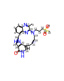 Cc1nc2cccc3c2nc1N(CCCS(C)(=O)=O)C/C=C\C[C@H]1CNC(=O)c2cc-3[nH]c21